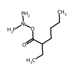 CCCCC(CC)C(=O)[O][Ni]([PH2])[PH2]